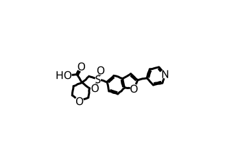 O=C(O)C1(CS(=O)(=O)c2ccc3oc(-c4ccncc4)cc3c2)CCOCC1